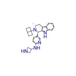 C[C@@H]1Cc2c([nH]c3ccccc23)[C@@H](c2ccc(NC3CNC3)nc2)N1C12CCC1CC2